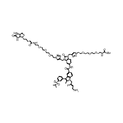 CCCCC(=O)NCCOCCOCCOCCn1cc(Cn2c(=O)n(Cc3cn(CCOCCOCCOCCNC(=O)CCCC[C@@H]4SCC5NC(=O)NC54)nn3)c3cc(NC(=O)c4ccc5c(c4)c(-c4cccc(S(=O)(=O)N(C)C)c4)c(C)n5C/C(F)=C/CN)ccc32)nn1